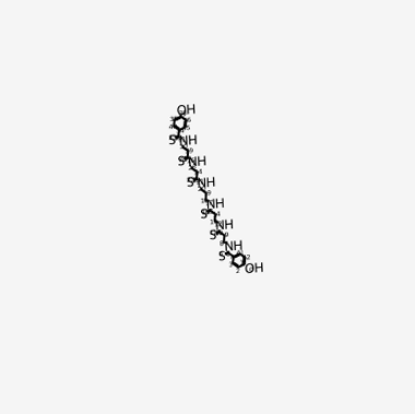 Oc1ccc(C(=S)NCCC(=S)NCCC(=S)NCCCNC(=S)CCNC(=S)CCNC(=S)c2ccc(O)cc2)cc1